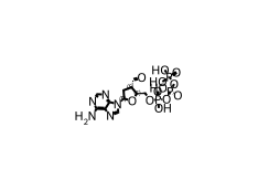 Nc1ncnc2c1ncn2[C@H]1C[C@H](C=O)[C@@H](COP(=O)(O)OP(=O)(O)OP(=O)(O)O)O1